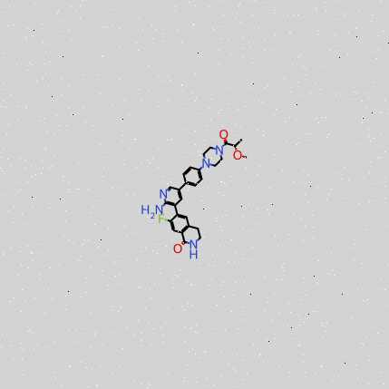 COC(C)C(=O)N1CCN(c2ccc(-c3cnc(N)c(-c4cc5c(cc4F)C(=O)NCC5)c3)cc2)CC1